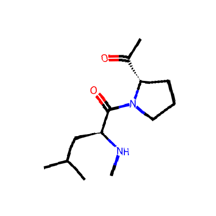 CN[C@@H](CC(C)C)C(=O)N1CCC[C@H]1C(C)=O